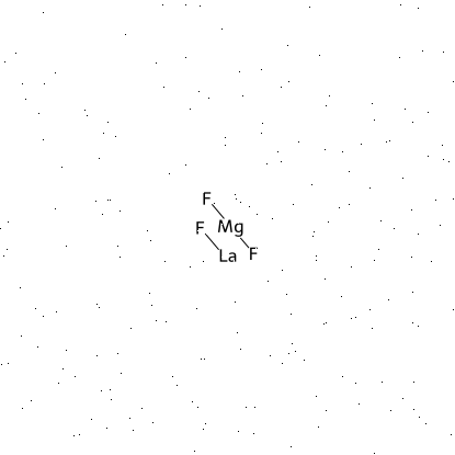 [F][La].[F][Mg][F]